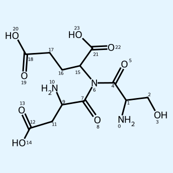 NC(CO)C(=O)N(C(=O)C(N)CC(=O)O)C(CCC(=O)O)C(=O)O